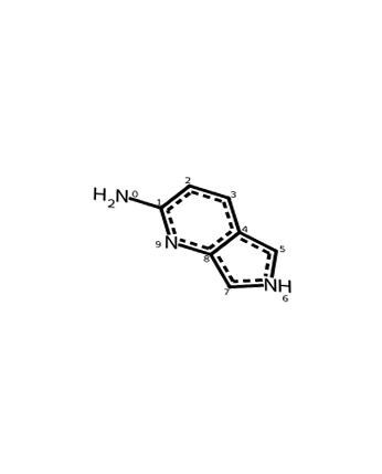 Nc1ccc2c[nH]cc2n1